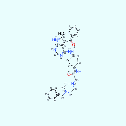 Cc1ccccc1C(=O)c1c[nH]c2ncnc(NC3CCC(NC(=O)CN4CCN(Cc5ccccc5)CC4)CC3)c12